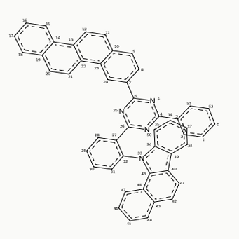 c1ccc(-c2nc(-c3ccc4ccc5c6ccccc6ccc5c4c3)nc(-c3ccccc3-n3c4ccccc4c4ccc5ccccc5c43)n2)cc1